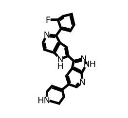 Fc1ccccc1-c1nccc2[nH]c(-c3n[nH]c4ncc(C5=CCNCC5)cc34)cc12